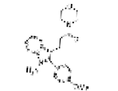 COc1ccc(-c2c(CCC(=O)N3CCOCC3)c3ccccc3n2N)cc1